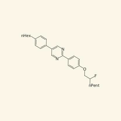 CCCCCCc1ccc(-c2cnc(-c3ccc(OCC(F)CCCCC)cc3)nc2)cc1